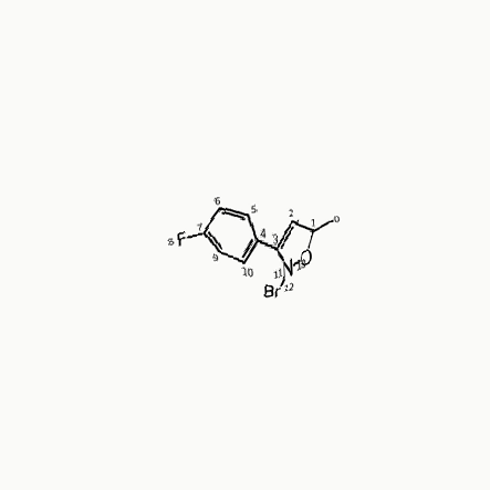 CC1[C]=C(c2ccc(F)cc2)N(Br)O1